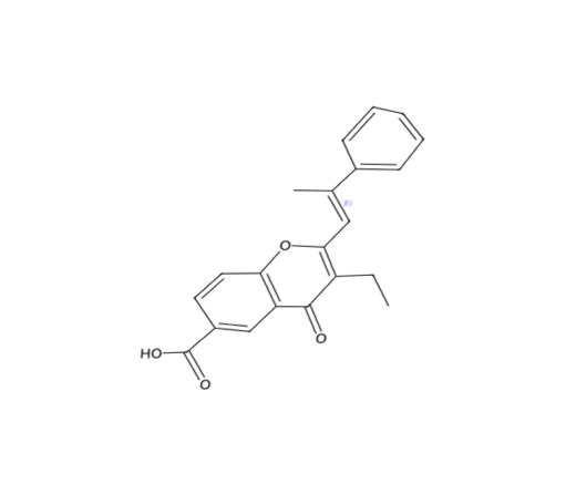 CCc1c(/C=C(\C)c2ccccc2)oc2ccc(C(=O)O)cc2c1=O